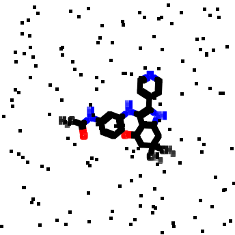 CC(=O)Nc1cccc(Nc2c(-c3ccncc3)[nH]c3c2C(=O)CC(C)(C)C3)c1